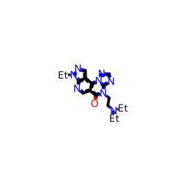 CCN(CC)CCn1c(=O)c2cnc3c(cnn3CC)c2n2ncnc12